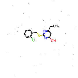 CCc1cc(O)nc(SCc2ccccc2Cl)n1